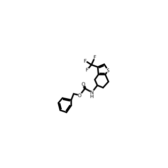 O=C(NC1CCc2scc(C(F)(F)F)c2C1)OCc1ccccc1